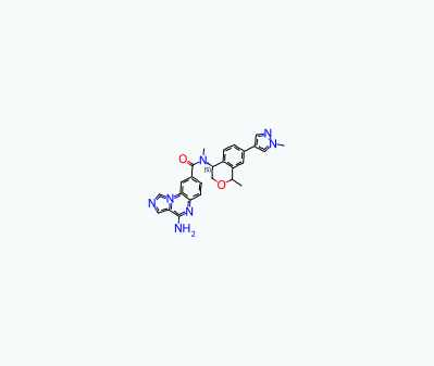 CC1OC[C@@H](N(C)C(=O)c2ccc3nc(N)c4cncn4c3c2)c2ccc(-c3cnn(C)c3)cc21